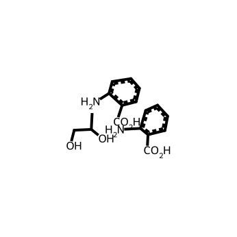 CC(O)CO.Nc1ccccc1C(=O)O.Nc1ccccc1C(=O)O